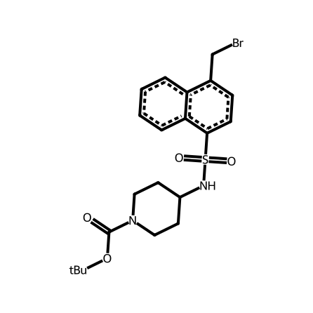 CC(C)(C)OC(=O)N1CCC(NS(=O)(=O)c2ccc(CBr)c3ccccc23)CC1